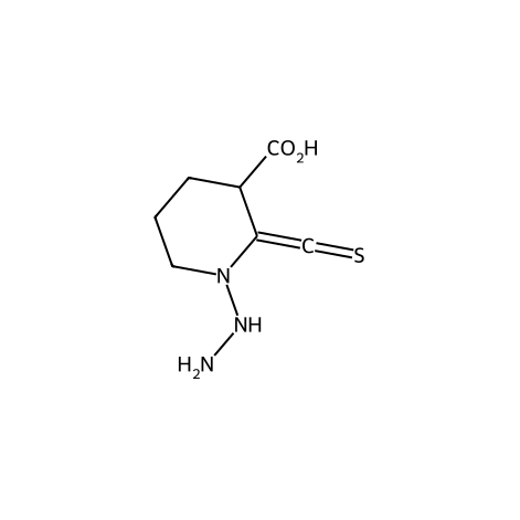 NNN1CCCC(C(=O)O)C1=C=S